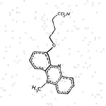 C[n+]1c2ccccc2nc2c(OCCCC(=O)O)cccc21